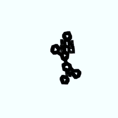 Clc1nc2ccccc2nc1-n1c2ccccc2c2cc(-c3ccc4c(c3)c3ccccc3n4-c3ccccc3)ccc21